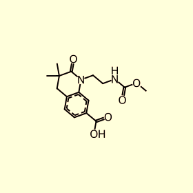 COC(=O)NCCN1C(=O)C(C)(C)Cc2ccc(C(=O)O)cc21